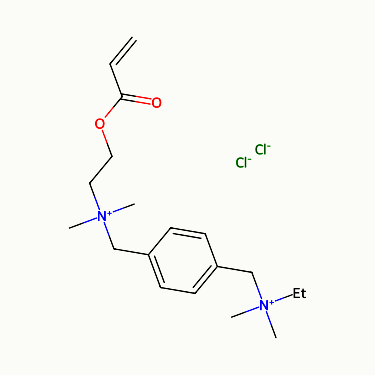 C=CC(=O)OCC[N+](C)(C)Cc1ccc(C[N+](C)(C)CC)cc1.[Cl-].[Cl-]